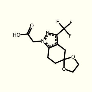 O=C(O)Cn1nc(C(F)(F)F)c2c1CCC1(C2)OCCO1